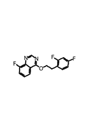 Fc1ccc(CCOc2ncnc3c(F)cccc23)c(F)c1